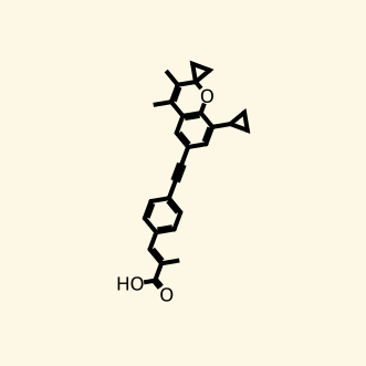 CC1=C(C)C2(CC2)Oc2c1cc(C#Cc1ccc(/C=C(\C)C(=O)O)cc1)cc2C1CC1